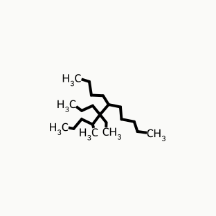 CCCCC[C](CCCC)C(CC)(CCC)C(C)CCC